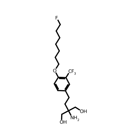 NC(CO)(CO)CCc1ccc(OCCCCCCCF)c(C(F)(F)F)c1